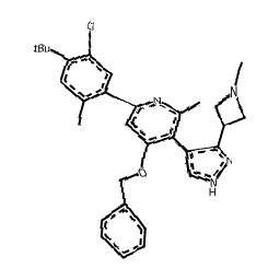 Cc1cc(C(C)(C)C)c(Cl)cc1-c1cc(OCc2ccccc2)c(-c2c[nH]nc2C2CN(C)C2)c(C)n1